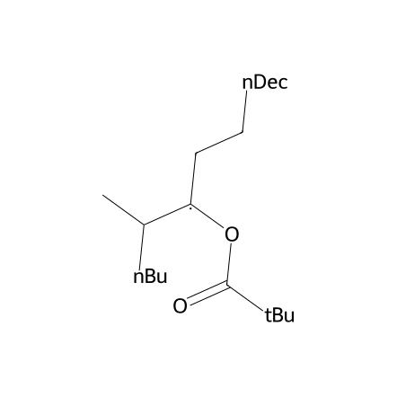 CCCCCCCCCCCC[C](OC(=O)C(C)(C)C)C(C)CCCC